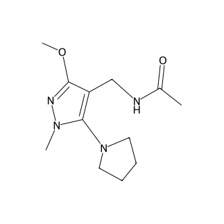 COc1nn(C)c(N2CCCC2)c1CNC(C)=O